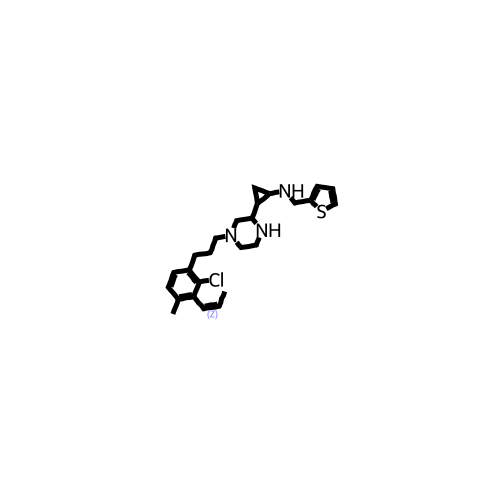 C/C=C\c1c(C)ccc(CCCN2CCNC(C3CC3NCc3cccs3)C2)c1Cl